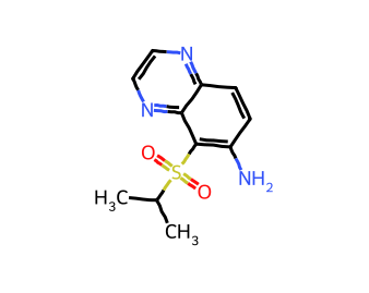 CC(C)S(=O)(=O)c1c(N)ccc2nccnc12